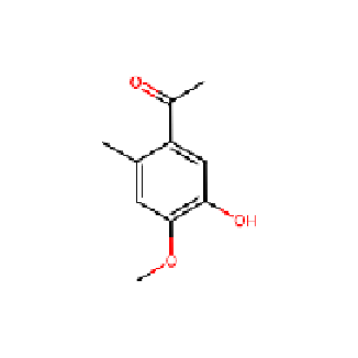 COc1cc(C)c(C(C)=O)cc1O